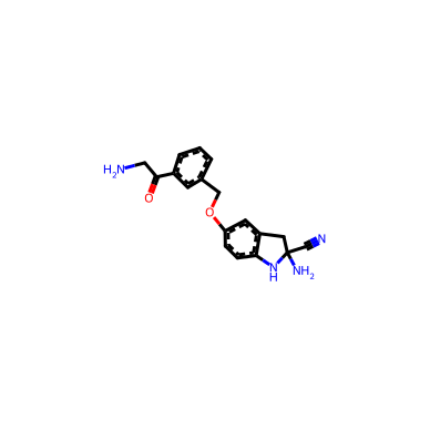 N#CC1(N)Cc2cc(OCc3cccc(C(=O)CN)c3)ccc2N1